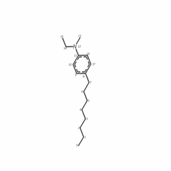 CCCCCCCCc1ccc(N(C)CC)cc1